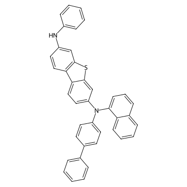 c1ccc(Nc2ccc3c(c2)sc2cc(N(c4ccc(-c5ccccc5)cc4)c4cccc5ccccc45)ccc23)cc1